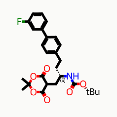 CC(C)(C)OC(=O)N[C@@H](CCc1ccc(-c2cccc(F)c2)cc1)CC1C(=O)OC(C)(C)OC1=O